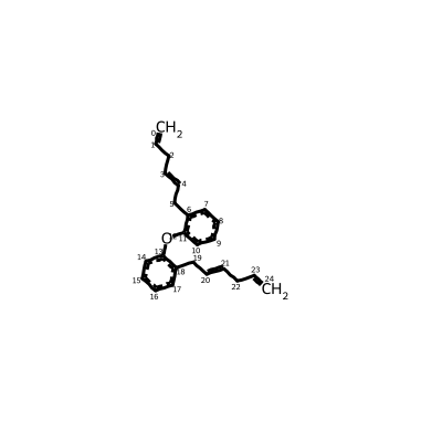 C=CCC=CCc1ccccc1Oc1ccccc1CC=CCC=C